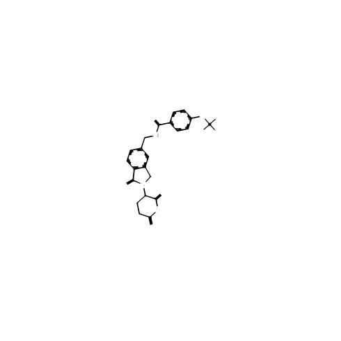 O=C1CCC(N2Cc3cc(CNC(=O)c4ccc(SC(F)(F)F)cc4)ccc3C2=O)C(=O)N1